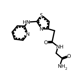 NC(=O)CNC(=O)Cc1csc(Nc2ccccn2)n1